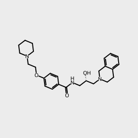 O=C(NC[C@H](O)CN1CCc2ccccc2C1)c1ccc(OCCN2CCCCC2)cc1